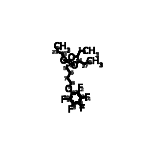 CCCO[Si](CCCCOc1c(F)c(F)c(F)c(F)c1F)(OCCC)OCCC